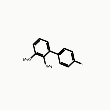 COc1cccc(-c2[c]cc(F)cc2)c1OC